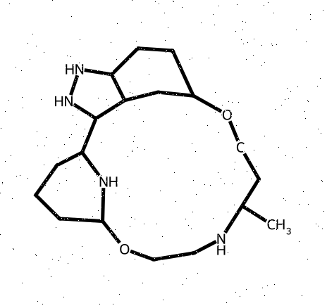 CC1CCOC2CCC3NNC(C4CCCC(N4)OCCN1)C3C2